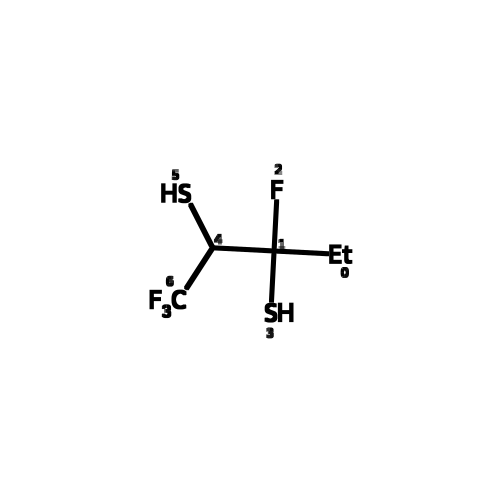 CCC(F)(S)C(S)C(F)(F)F